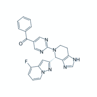 O=C(c1ccccc1)c1cnc(N2CCc3[nH]cnc3[C@@H]2c2cc3c(F)cccn3n2)nc1